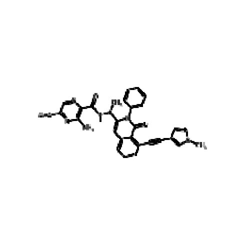 COc1cnc(C(=O)N[C@@H](C)c2cc3cccc(C#Cc4cnn(C)c4)c3c(=O)n2-c2ccccc2)c(N)n1